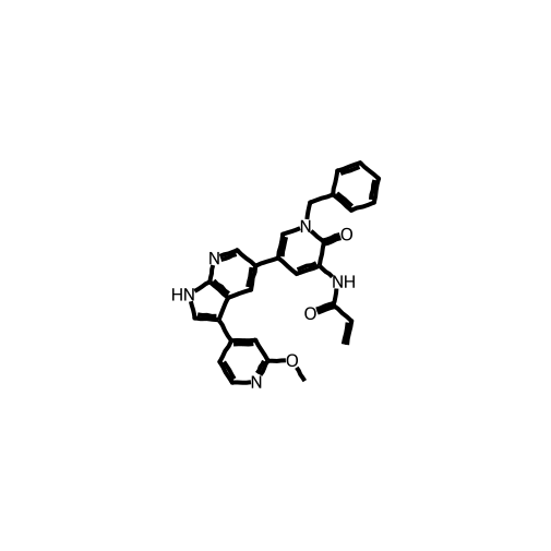 C=CC(=O)Nc1cc(-c2cnc3[nH]cc(-c4ccnc(OC)c4)c3c2)cn(Cc2ccccc2)c1=O